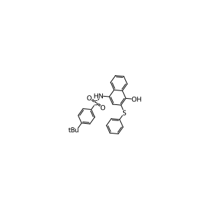 CC(C)(C)c1ccc(S(=O)(=O)Nc2cc(Sc3ccccc3)c(O)c3ccccc23)cc1